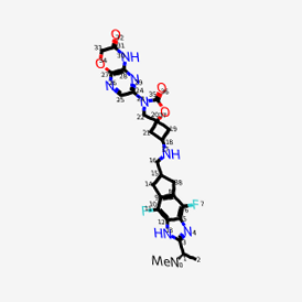 CN[C@H](C)c1nc2c(F)c3c(c(F)c2[nH]1)CC(CNC1CC2(C1)CN(c1cnc4c(n1)NC(=O)CO4)C(=O)O2)C3